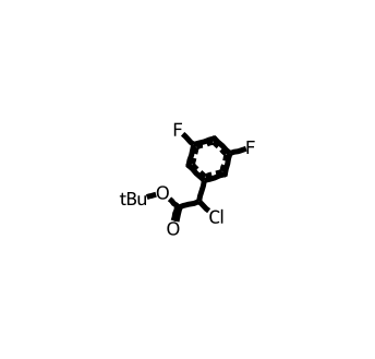 CC(C)(C)OC(=O)C(Cl)c1cc(F)cc(F)c1